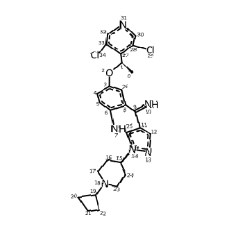 C[C@@H](Oc1ccc(N)c(C(=N)c2cnn(C3CCN(C4CCC4)CC3)c2)c1)c1c(Cl)cncc1Cl